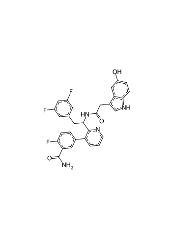 NC(=O)c1cc(-c2cccnc2C(Cc2cc(F)cc(F)c2)NC(=O)Cc2c[nH]c3ccc(O)cc23)ccc1F